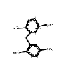 COc1ccc(OC)c(Cc2cc(OC)ccc2OC)c1